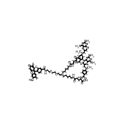 Cc1cc(C(=O)NCCOCCOCCN(CCCCCNC(=O)CCC(NC(=O)c2ccc(N(C)Cc3cnc4nc(N)nc(N)c4n3)cc2)C(=O)O)CCCCCNC(=O)CCC(NC(=O)c2ccc(N(C)Cc3cnc4nc(N)nc(N)c4n3)cc2)C(=O)O)ccc1-c1c2cc(F)c(=O)cc-2oc2cc(O)c(F)cc12